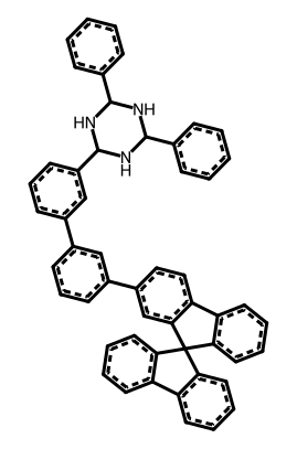 c1ccc(C2NC(c3ccccc3)NC(c3cccc(-c4cccc(-c5ccc6c(c5)C5(c7ccccc7-c7ccccc75)c5ccccc5-6)c4)c3)N2)cc1